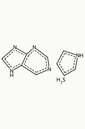 S.c1cc[nH]c1.c1ncc2[nH]cnc2n1